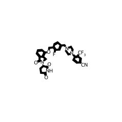 N#Cc1ccc(N2CCN(Cc3ccc(COc4cccc5c4CN([C@H]4CCC(=O)NC4=O)C5=O)c(F)c3)CC2)c(C(F)(F)F)c1